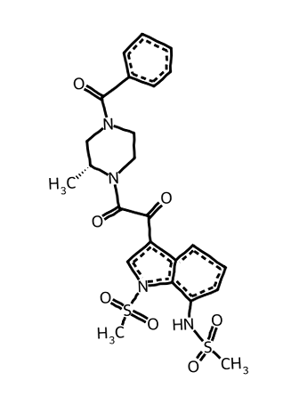 C[C@@H]1CN(C(=O)c2ccccc2)CCN1C(=O)C(=O)c1cn(S(C)(=O)=O)c2c(NS(C)(=O)=O)cccc12